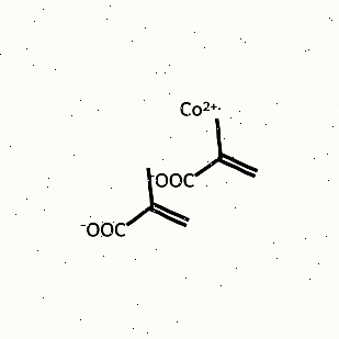 C=C(C)C(=O)[O-].C=C(C)C(=O)[O-].[Co+2]